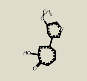 COc1cncc(-c2cccc(=O)c(O)c2)c1